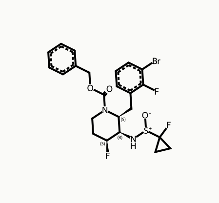 O=C(OCc1ccccc1)N1CC[C@H](F)[C@H](N[S+]([O-])C2(F)CC2)[C@@H]1Cc1cccc(Br)c1F